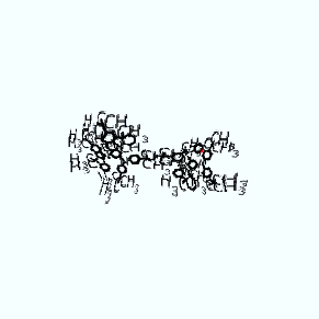 Cc1c(-c2ccccc2)n2c3c(cc(C(C)(C)CCC(C)(C)c4ccc(N(c5ccc(C(C)(C)C)cc5)c5cc6c7c(c5)-n5c8c(c9cc(C(C)(C)C)cc(c95)B7c5cc(C(C)(C)C)cc7c5N6C5(C)CCCCC75C)C(C)(C)c5ccccc5-8)cc4)cc13)B1c3cccc4c3N(c3cc(N(c5ccc(C(C)(C)C)cc5)c5ccc(C(C)(C)C)cc5)cc-2c31)C1(C)CCCCC41C